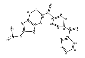 CCN(CC)Cc1cc2c(o1)CN(C(=O)c1ccc(C(=O)c3ccccc3)cc1)CC2